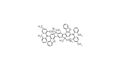 Cc1ccc(N(c2ccccc2C)c2cc3c(c4c2oc2ccccc24)-c2cc4c(cc2[Si]3(C)C)-c2c(cc(N(c3ccccc3C)c3ccc(C)cc3C)c3c2oc2ccccc23)[Si]4(C)C)c(C)c1